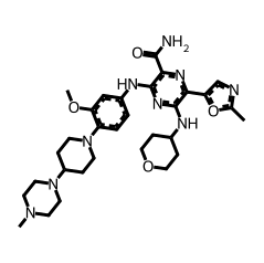 COc1cc(Nc2nc(NC3CCOCC3)c(-c3cnc(C)o3)nc2C(N)=O)ccc1N1CCC(N2CCN(C)CC2)CC1